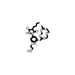 CC(=O)OCOC(C)=O.CCCCC1C(=O)NN(c2ccccc2)C1=O.CCOCC.OCCO